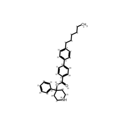 CCCCCCc1ccc(-c2ccc(C(=O)OC3(c4ccccc4)CCNCC3)cc2)cc1